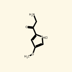 COc1csc(C(=O)CN)c1.Cl